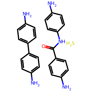 Nc1ccc(-c2ccc(N)cc2)cc1.Nc1ccc(NC(=O)c2ccc(N)cc2)cc1.S